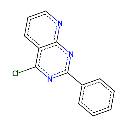 Clc1nc(-c2ccccc2)nc2ncccc12